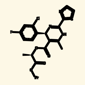 CC1=C(C(=O)O[C@@H](C)C(=O)OC(C)C)[C@H](c2ccc(F)cc2Cl)N=C(c2nccs2)N1